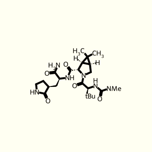 CNC(=O)N[C@H](C(=O)N1C[C@H]2[C@@H]([C@H]1C(=O)N[C@@H](C[C@@H]1CCNC1=O)C(N)=O)C2(C)C)C(C)(C)C